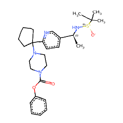 C[C@H](N[S@@+]([O-])C(C)(C)C)c1ccc(C2(N3CCN(C(=O)Oc4ccccc4)CC3)CCCC2)nc1